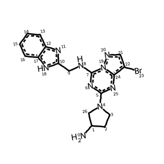 NC1CCN(c2nc(NCc3nc4ccccc4[nH]3)n3ncc(Br)c3n2)C1